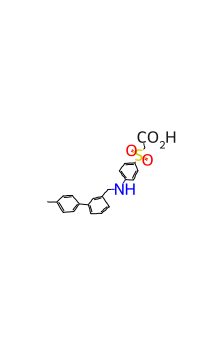 Cc1ccc(-c2cccc(CNc3ccc(S(=O)(=O)CC(=O)O)cc3)c2)cc1